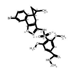 CNC(=O)c1cc(OC)c(S(=O)(=O)Nc2noc3c2CC2(CC2C)c2ccc(Br)cc2-3)c(OC)c1